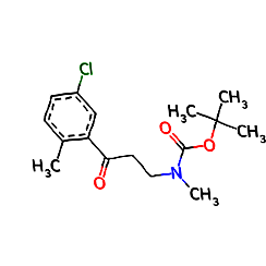 Cc1ccc(Cl)cc1C(=O)CCN(C)C(=O)OC(C)(C)C